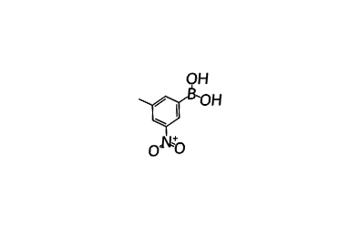 Cc1cc(B(O)O)cc([N+](=O)[O-])c1